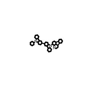 c1ccc(-n2c3ccccc3c3cc(-c4ccc5c(c4)c4ccccc4n5-c4ccc5c6c(ccnc46)-c4ccccc4-5)ccc32)cc1